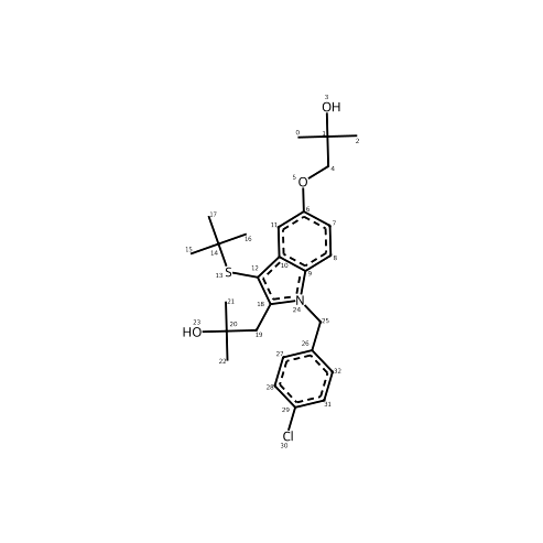 CC(C)(O)COc1ccc2c(c1)c(SC(C)(C)C)c(CC(C)(C)O)n2Cc1ccc(Cl)cc1